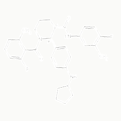 Cc1cc(NC(=O)[C@H]2CCCN(C(=O)c3c(C)cccc3F)[C@H]2c2ccc(NC3CCCC3)cc2)ccc1F